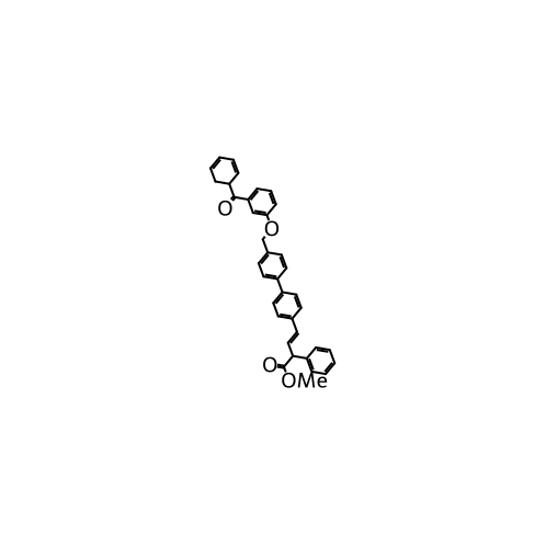 COC(=O)C(C=Cc1ccc(-c2ccc(COc3cccc(C(=O)C4C=CC=CC4)c3)cc2)cc1)c1ccccc1